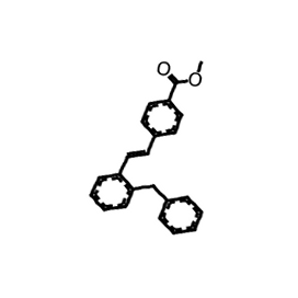 COC(=O)c1ccc(/C=C/c2ccccc2Cc2ccccc2)cc1